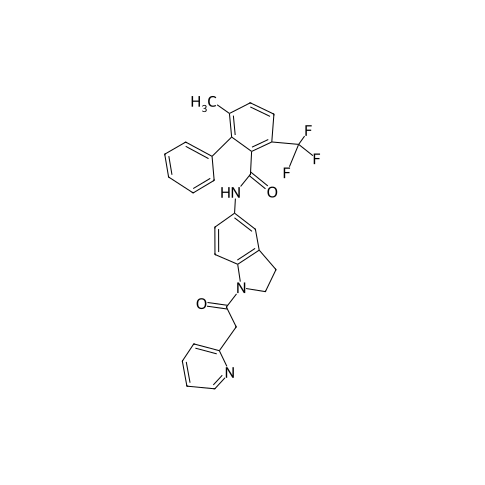 Cc1ccc(C(F)(F)F)c(C(=O)Nc2ccc3c(c2)CCN3C(=O)Cc2ccccn2)c1-c1ccccc1